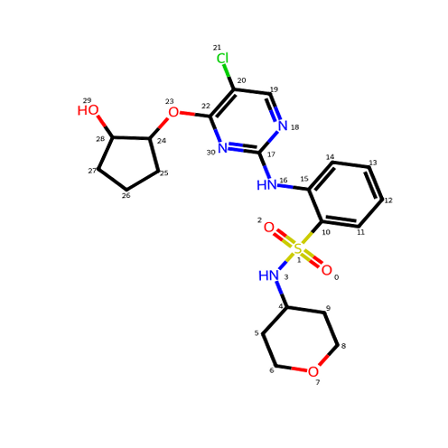 O=S(=O)(NC1CCOCC1)c1ccccc1Nc1ncc(Cl)c(OC2CCCC2O)n1